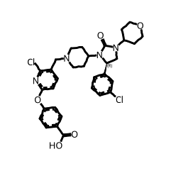 O=C(O)c1ccc(Oc2ccc(CN3CCC(N4C(=O)N(C5CCOCC5)C[C@H]4c4cccc(Cl)c4)CC3)c(Cl)n2)cc1